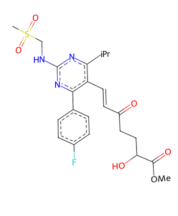 COC(=O)C(O)CCC(=O)C=Cc1c(-c2ccc(F)cc2)nc(NCS(C)(=O)=O)nc1C(C)C